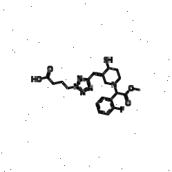 COC(=O)C(c1ccccc1F)N1CCC(S)/C(=C/c2nnn(CCCC(=O)O)n2)C1